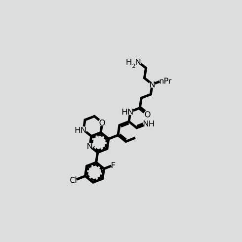 C/C=C(\C=C(/C=N)NC(=O)CCN(CCC)CCN)c1cc(-c2cc(Cl)ccc2F)nc2c1OCCN2